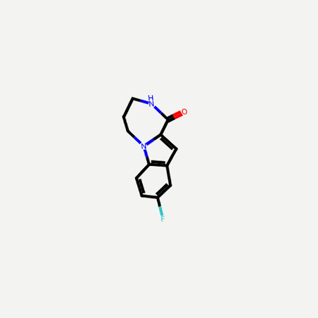 O=C1NCCCn2c1cc1cc(F)ccc12